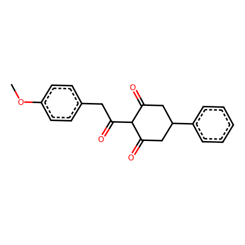 COc1ccc(CC(=O)C2C(=O)CC(c3ccccc3)CC2=O)cc1